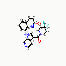 O=C(c1c[nH]c2cnccc12)N1CCC(F)(F)[C@@H](Oc2ccc3ccccc3n2)C1